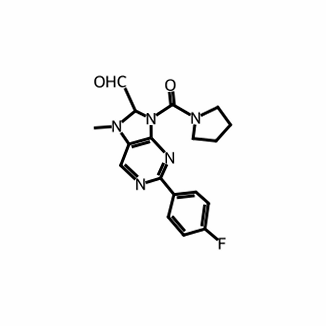 CN1c2cnc(-c3ccc(F)cc3)nc2N(C(=O)N2CCCC2)C1C=O